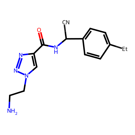 CCc1ccc(C(C#N)NC(=O)c2cn(CCN)nn2)cc1